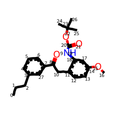 CCCc1cccc(C(=O)Cc2ccc(OC)cc2NC(=O)OC(C)(C)C)c1